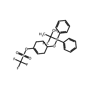 CC(C)(C)[Si](OC1CC=C(OS(=O)(=O)C(F)(F)F)CC1)(c1ccccc1)c1ccccc1